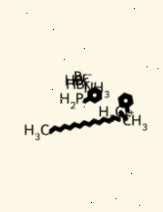 Br.Br.CCCCCCCCCCCCCCCC[N+](C)(C)Cc1ccccc1.N.PCc1ccccc1.[Br-]